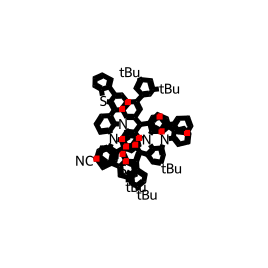 CC(C)(C)c1cc(-c2ccc3c(c2)C2c4ccc(-c5ccccc5)cc4N(c4c(-c5cccc6sc7cc(C(C)(C)C)ccc7c56)cc(C(C)(C)C)cc4-n4c5ccccc5c5ccccc54)c4cc(-n5c6ccc(C#N)cc6c6cc(C(C)(C)C)ccc65)cc(c42)N3c2c(-c3cccc4c3sc3ccccc34)cccc2-n2c3ccccc3c3ccccc32)cc(C(C)(C)C)c1